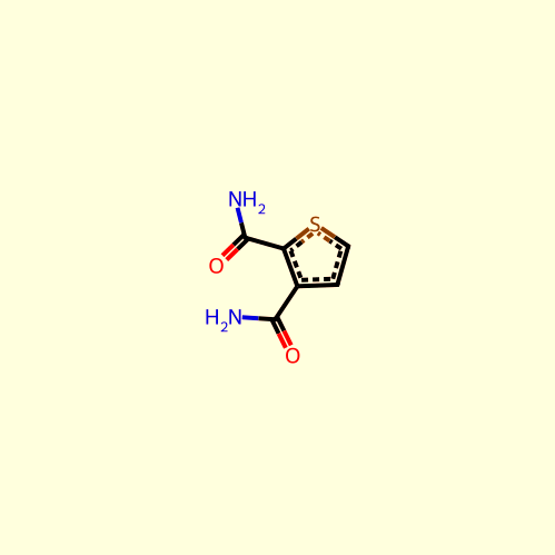 NC(=O)c1ccsc1C(N)=O